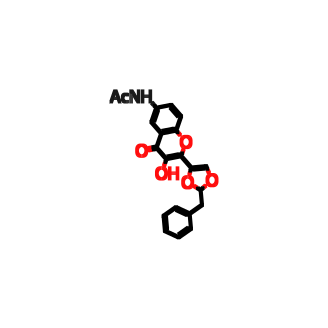 CC(=O)Nc1ccc2oc(C3=COC(Cc4ccccc4)O3)c(O)c(=O)c2c1